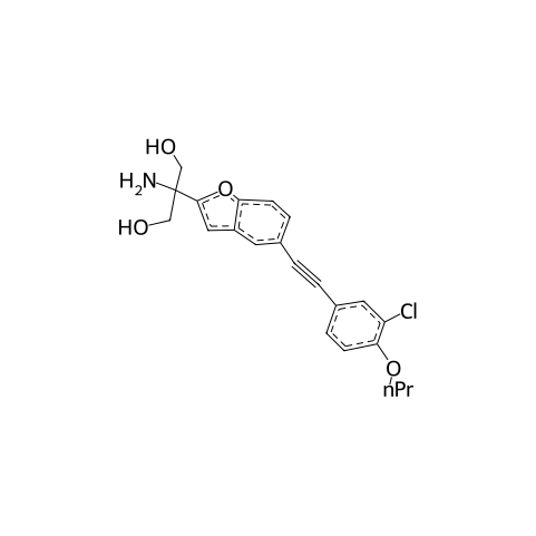 CCCOc1ccc(C#Cc2ccc3oc(C(N)(CO)CO)cc3c2)cc1Cl